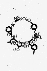 COC(=O)[C@@H]1Cc2ccc(cc2)OCCn2cc(nn2)COc2ccccc2C(=O)N[C@H](CC(C)C)C(=O)N2C[C@@H](O)C[C@@H]2C(=O)N[C@@H](Cc2cccc(F)c2)C(=O)N1